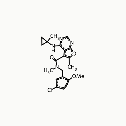 COc1ccc(Cl)cc1CN(C)C(=O)c1c(C)oc2ncnc(NC3(C)CC3)c12